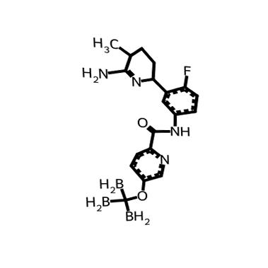 BC(B)(B)Oc1ccc(C(=O)Nc2ccc(F)c(C3CCC(C)C(N)=N3)c2)nc1